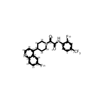 O=C(Nc1ccc(C(F)(F)F)cc1F)C(=O)N1CCC(c2ccnc3ccc(F)cc23)CC1